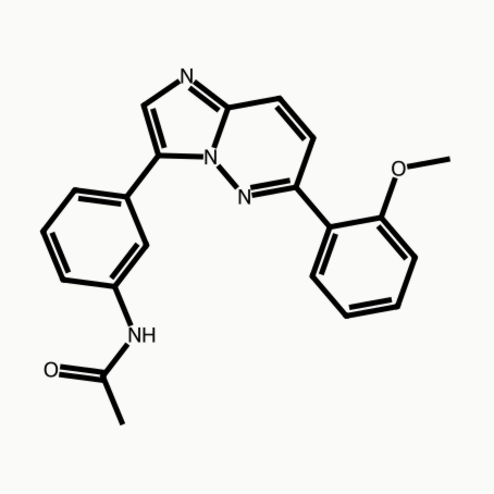 COc1ccccc1-c1ccc2ncc(-c3cccc(NC(C)=O)c3)n2n1